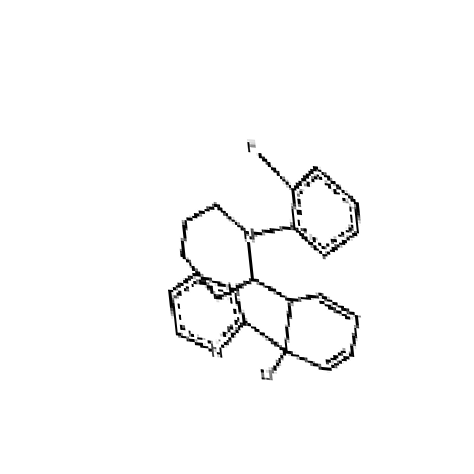 Fc1ccccc1N1CCCCC1C1C=CC=CC1(Cl)c1ncccn1